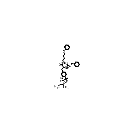 CCC(C)OP(=O)(O)C(F)(F)c1ccc(CC(NC(=O)OCc2ccccc2)C(=O)NCCCCOc2ccccc2)cc1